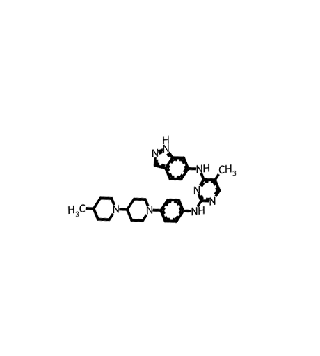 Cc1cnc(Nc2ccc(N3CCC(N4CCC(C)CC4)CC3)cc2)nc1Nc1ccc2cn[nH]c2c1